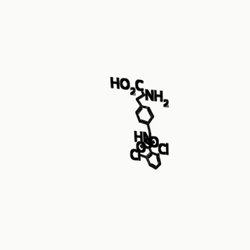 NC(Cc1ccc(CNS(=O)(=O)c2c(Cl)cccc2Cl)cc1)C(=O)O